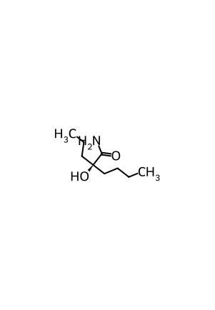 CCCC[C@](O)(CCC)C(N)=O